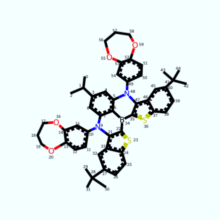 CC(C)c1cc2c3c(c1)N(c1ccc4c(c1)OCCCO4)c1c(sc4ccc(C(C)(C)C)cc14)B3c1sc3ccc(C(C)(C)C)cc3c1N2c1ccc2c(c1)OCCCO2